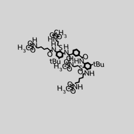 CC(C)(C)c1cc(NC(=O)CCCCNS(C)(=O)=O)c(SCCNS(C)(=O)=O)c(NC(=O)c2cccc(C(=O)Nc3cc(C(C)(C)C)cc(NC(=O)CCCCNS(C)(=O)=O)c3SCCNS(C)(=O)=O)c2)c1